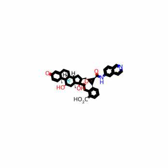 C[C@@H]1C[C@H]2[C@@H]3CCC4=CC(=O)C=C[C@]4(C)[C@@]3(F)[C@@H](O)C[C@]2(C)[C@@]1(O)C(=O)Cc1c(C(=O)O)cccc1[C@@H]1C[C@H]1C(=O)Nc1ccc2cnccc2c1